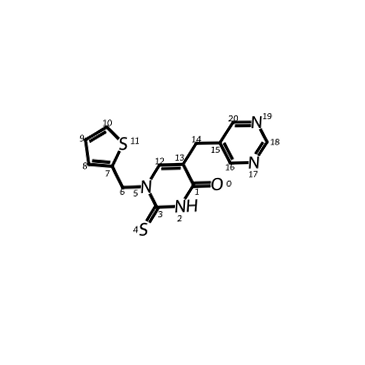 O=c1[nH]c(=S)n(Cc2cccs2)cc1Cc1cncnc1